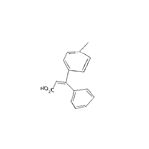 Cc1ccc(C(=CC(=O)O)c2ccccc2)cc1